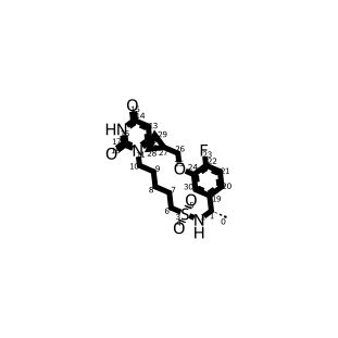 C[C@H](NS(=O)(=O)CCCCCn1ccc(=O)[nH]c1=O)c1ccc(F)c(OCC2CC2)c1